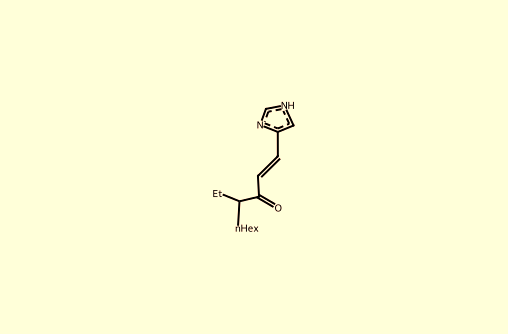 CCCCCCC(CC)C(=O)/C=C/c1c[nH]cn1